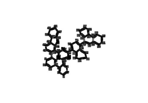 c1ccc(-c2ccccc2-c2nc(-c3ccc(-c4cc5ccccc5c5ccccc45)c4ccccc34)nc(-c3cccc4c3sc3ccccc34)n2)cc1